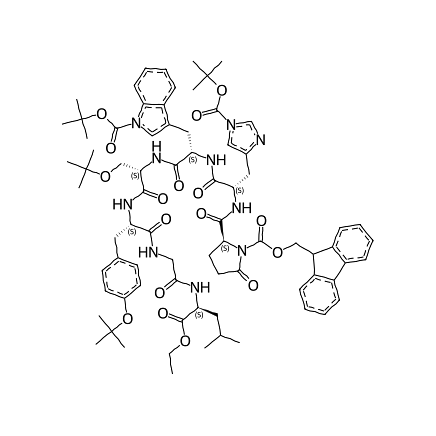 CCOC(=O)[C@H](CC(C)C)NC(=O)CNC(=O)[C@H](Cc1ccc(OC(C)(C)C)cc1)NC(=O)[C@H](COC(C)(C)C)NC(=O)[C@H](Cc1cn(C(=O)OC(C)(C)C)c2ccccc12)NC(=O)[C@H](Cc1cn(C(=O)OC(C)(C)C)cn1)NC(=O)[C@@H]1CCC(=O)N1C(=O)OCC1c2ccccc2-c2ccccc21